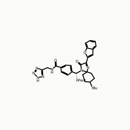 CCCCC[C@H](c1ccc(C(=O)NCc2nn[nH]n2)cc1)N1C(=O)C(c2cc3ccccc3o2)=NC12CCC(C(C)(C)C)CC2